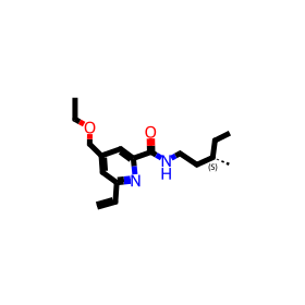 C=Cc1cc(COCC)cc(C(=O)NCC[C@@H](C)CC)n1